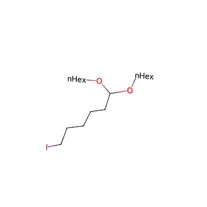 CCCCCCOC(CCCCCI)OCCCCCC